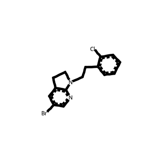 Clc1ccccc1CCN1CCc2cc(Br)cnc21